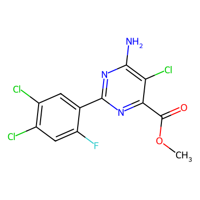 COC(=O)c1nc(-c2cc(Cl)c(Cl)cc2F)nc(N)c1Cl